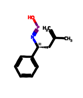 C=C(C)C[C@@H](N=PO)c1ccccc1